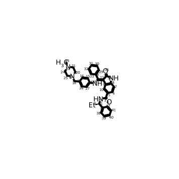 CC[C@@H](NC(=O)c1ccc2c(c1)C(=C(Nc1ccc(CN3CCN(C)CC3)cc1)c1ccccc1)C(=O)N2)c1ccccc1